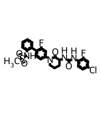 CS(=O)(=O)Nc1ccccc1-c1ccc(N2CCCC(NC(=O)Nc3ccc(Cl)cc3F)C2=O)cc1F